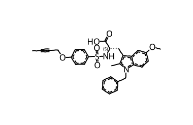 CC#CCOc1ccc(S(=O)(=O)N[C@@H](Cc2c(C)n(Cc3ccccc3)c3ccc(OC)cc23)C(=O)O)cc1